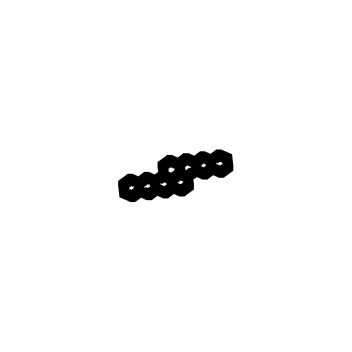 c1ccc2cc3c(cc2c1)cc1ccc2c4cc5ccccc5cc4cc4ccc3c1c42